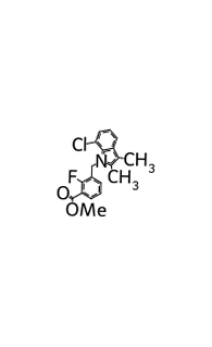 COC(=O)c1cccc(Cn2c(C)c(C)c3cccc(Cl)c32)c1F